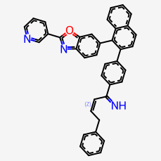 N=C(/C=C\Cc1ccccc1)c1ccc(-c2ccc3ccccc3c2-c2ccc3nc(-c4cccnc4)oc3c2)cc1